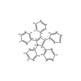 c1ccc(-c2c(-c3ccccc3)c(-c3ccccc3)p(-c3ccccc3)c2-c2ccccc2)cc1